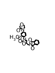 COc1cc(N2CCOCC2=O)ccc1N1CC(CN2C(=O)c3ccccc3C2=O)OC1=O